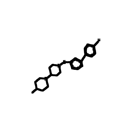 CC1CCN(C2CCN(Sc3cccc(-c4ccc(F)cc4)c3)CC2)CC1